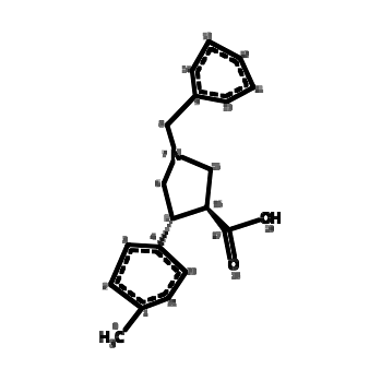 Cc1ccc([C@@H]2CN(Cc3ccccc3)C[C@H]2C(=O)O)cc1